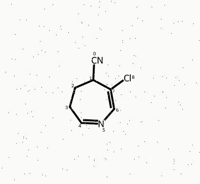 N#CC1CCC=NC=C1Cl